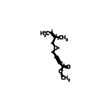 CC=C(C)COCC#CC(=O)OC